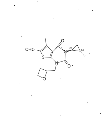 Cc1c(C=O)sc2c1c(=O)n([C@H]1C[C@@H]1C)c(=O)n2CC1CCO1